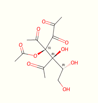 CC(=O)O[C@@](C(C)=O)(C(=O)C(C)=O)[C@@](O)(C(C)=O)[C@H](O)CO